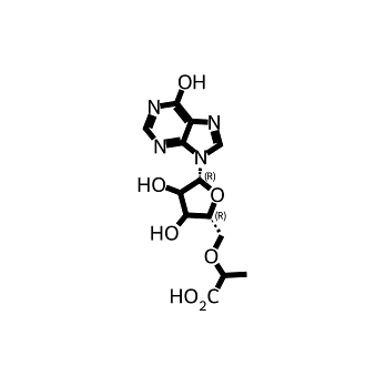 CC(OC[C@H]1O[C@@H](n2cnc3c(O)ncnc32)C(O)C1O)C(=O)O